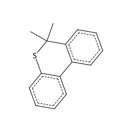 CC1(C)Sc2ccccc2-c2ccccc21